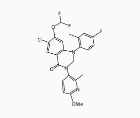 COc1ccc(N2CN(c3ccc(F)cc3C)c3cc(OC(F)F)c(Cl)cc3C2=O)c(C)n1